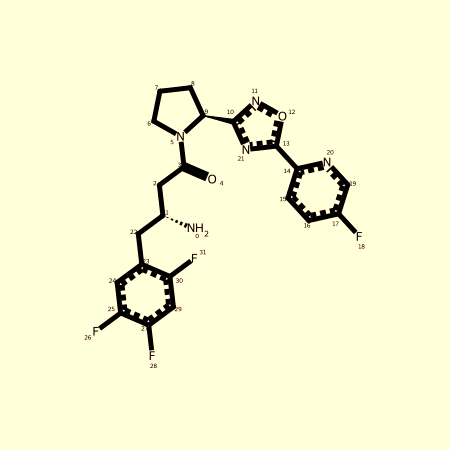 N[C@@H](CC(=O)N1CCC[C@H]1c1noc(-c2ccc(F)cn2)n1)Cc1cc(F)c(F)cc1F